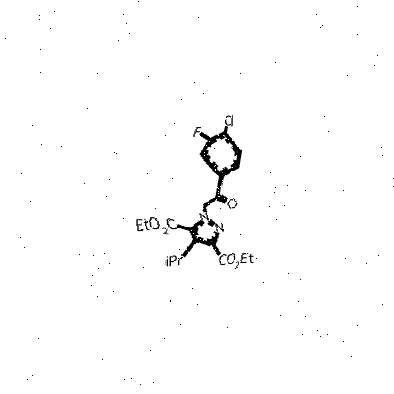 CCOC(=O)c1nn(CC(=O)c2ccc(Cl)c(F)c2)c(C(=O)OCC)c1C(C)C